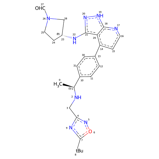 C[C@H](NCc1noc(C(C)(C)C)n1)c1ccc(-c2ccnc3[nH]nc(N[C@@H]4CCN(C=O)C4)c23)cc1